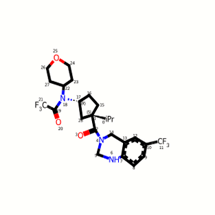 CC(C)[C@]1(C(=O)N2CNc3ccc(C(F)(F)F)cc3C2)CC[C@@H](N(C(=O)C(F)(F)F)C2CCOCC2)C1